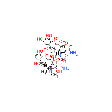 CN(C)[C@@H]1C(O)=C(C(N)=O)C(=O)[C@@]2(O)C(O)=C3C(=O)c4c(O)cccc4[C@@](C)(O)[C@H]3C[C@@H]12.CN(C)[C@@H]1C(O)=C(C(N)=O)C(=O)[C@@]2(O)C(O)=C3C(=O)c4c(O)cccc4[C@@](C)(O)[C@H]3C[C@@H]12.Cl